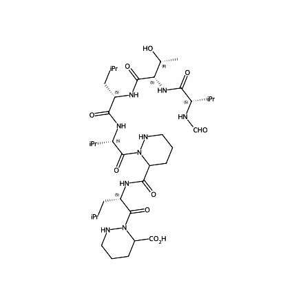 CC(C)C[C@H](NC(=O)[C@@H](NC(=O)[C@@H](NC=O)C(C)C)[C@@H](C)O)C(=O)N[C@H](C(=O)N1NCCCC1C(=O)N[C@@H](CC(C)C)C(=O)N1NCCCC1C(=O)O)C(C)C